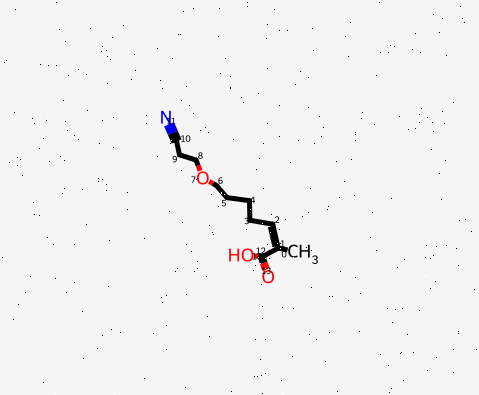 CC(=CCCCCOCCC#N)C(=O)O